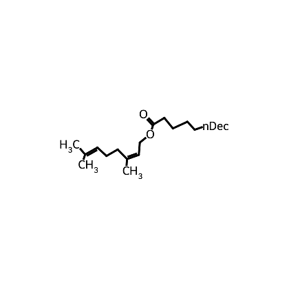 CCCCCCCCCCCCCCC(=O)OCC=C(C)CCC=C(C)C